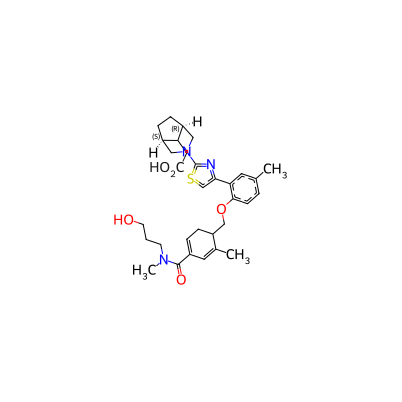 CC1=CC(C(=O)N(C)CCCO)=CCC1COc1ccc(C)cc1-c1csc(N2C[C@H]3CC[C@@H](C2)C3CC(=O)O)n1